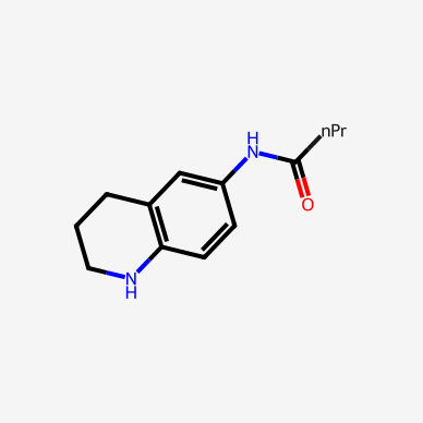 CCCC(=O)Nc1ccc2c(c1)CCCN2